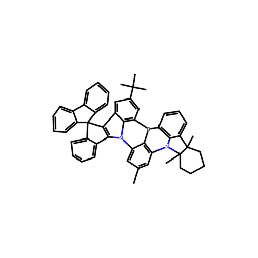 Cc1cc2c3c(c1)-n1c4c(c5cc(C(C)(C)C)cc(c51)B3c1cccc3c1N2C1(C)CCCCC31C)C1(c2ccccc2-c2ccccc21)c1ccccc1-4